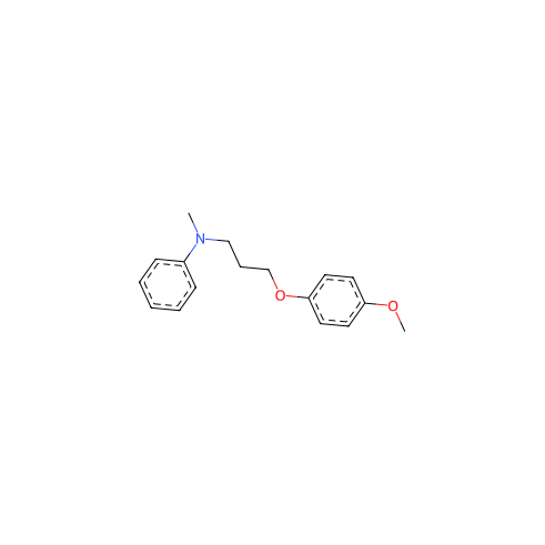 COc1ccc(OCCCN(C)c2ccccc2)cc1